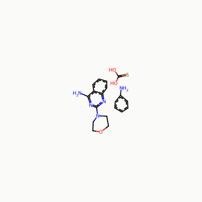 Nc1ccccc1.Nc1nc(N2CCOCC2)nc2ccccc12.OC(O)=S